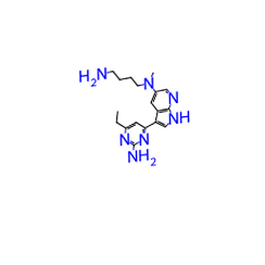 CCc1cc(-c2c[nH]c3ncc(N(C)CCCCN)cc23)nc(N)n1